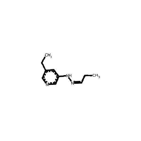 CC/C=N\Nc1cncc(CC)c1